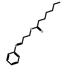 CCCCCCC(=O)OCCC=Nc1ccccc1